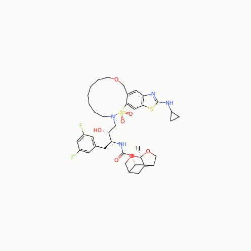 O=C(N[C@@H](Cc1cc(F)cc(F)c1)[C@H](O)CN1CCCCCCCOCc2cc3nc(NC4CC4)sc3cc2S1(=O)=O)O[C@H]1C2CO[C@H]3OCC1C3C2